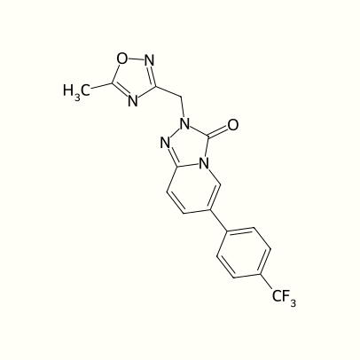 Cc1nc(Cn2nc3ccc(-c4ccc(C(F)(F)F)cc4)cn3c2=O)no1